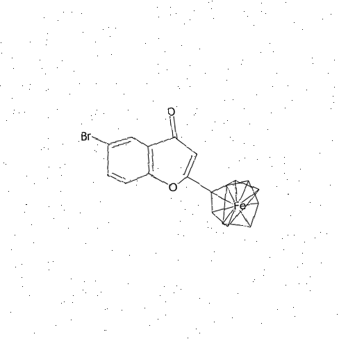 O=c1cc([C]23[CH]4[CH]5[CH]6[CH]2[Fe]56432789[CH]3[CH]2[CH]7[CH]8[CH]39)oc2ccc(Br)cc12